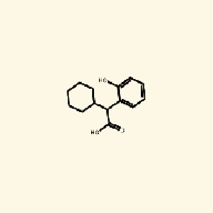 O=C(O)C(c1ccccc1O)C1CCCCC1